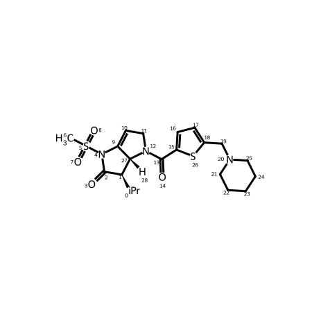 CC(C)[C@H]1C(=O)N(S(C)(=O)=O)C2=CCN(C(=O)c3ccc(CN4CCCCC4)s3)[C@@H]21